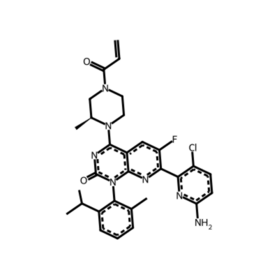 C=CC(=O)N1CCN(c2nc(=O)n(-c3c(C)cccc3C(C)C)c3nc(-c4nc(N)ccc4Cl)c(F)cc23)[C@@H](C)C1